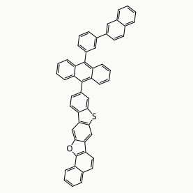 c1cc(-c2ccc3ccccc3c2)cc(-c2c3ccccc3c(-c3ccc4c(c3)sc3cc5c(cc34)oc3c4ccccc4ccc53)c3ccccc23)c1